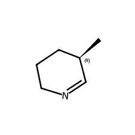 C[C@H]1C=NCCC1